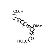 COc1cc2sc(C(=O)CC(C)C(=O)O)cc2cc1C=CCc1cc2cc(C(=O)CC(C)C(=O)O)sc2cc1OC